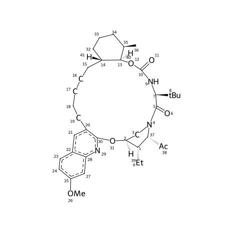 CC[C@@H]1[C@@H]2CN(C(=O)[C@H](C(C)(C)C)NC(=O)O[C@H]3[C@H](CCCCCc4cc5ccc(OC)cc5nc4O2)CCC[C@H]3C)[C@@H]1C(C)=O